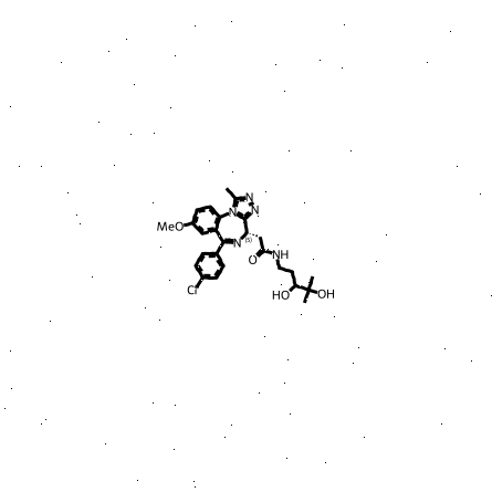 COc1ccc2c(c1)C(c1ccc(Cl)cc1)=N[C@@H](CC(=O)NCCC(O)C(C)(C)O)c1nnc(C)n1-2